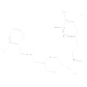 Cc1cc(OCC(=O)N(C)C2CCN(CC(=O)Nc3ccccc3C(C)(C)C)CC2)c(C)c(C)c1N